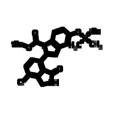 CC(C)(C)OC(=O)n1c(-c2ccc(Cl)c3c2C(=O)NC3)cc2cc(O[Si](C)(C)C(C)(C)C)ccc21